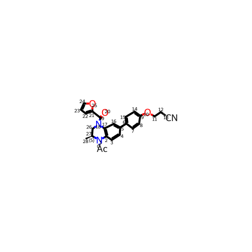 CC(=O)N1c2ccc(-c3ccc(OCCC#N)cc3)cc2N(C(=O)c2ccco2)C[C@@H]1C